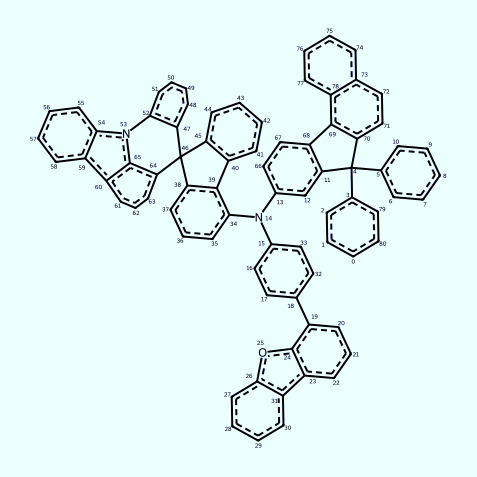 c1ccc(C2(c3ccccc3)c3cc(N(c4ccc(-c5cccc6c5oc5ccccc56)cc4)c4cccc5c4-c4ccccc4C54c5ccccc5-n5c6ccccc6c6cccc4c65)ccc3-c3c2ccc2ccccc32)cc1